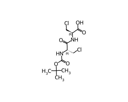 CC(C)(C)OC(=O)N[C@@H](CCl)C(=O)N[C@@H](CCl)C(=O)O